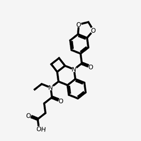 CCN(C(=O)CCC(=O)O)C1c2ccccc2N(C(=O)c2ccc3c(c2)OCO3)C2CCC12